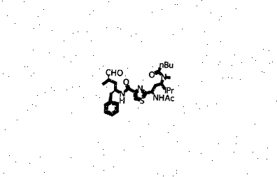 CCCCC(=O)N(C)C(C[C@@H](NC(C)=O)c1nc(C(=O)N[C@@H](Cc2ccccc2)C[C@H](C)C=O)cs1)C(C)C